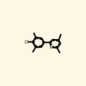 Cc1cc(C)nc(-c2cc(C)c(Cl)c(C)c2)c1